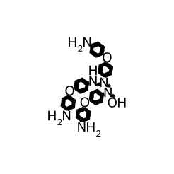 Nc1ccc(Oc2ccc(NCN(CN(CO)c3ccc(Oc4ccc(N)cc4)cc3)c3ccc(Oc4ccc(N)cc4)cc3)cc2)cc1